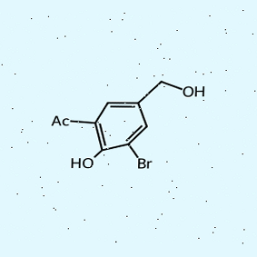 CC(=O)c1cc(CO)cc(Br)c1O